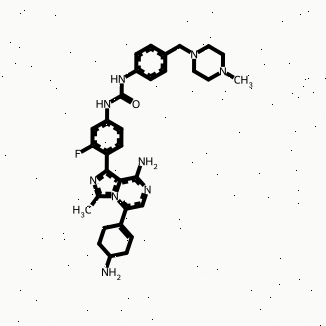 Cc1nc(-c2ccc(NC(=O)Nc3ccc(CN4CCN(C)CC4)cc3)cc2F)c2c(N)ncc(C3=CCC(N)CC3)n12